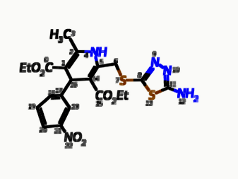 CCOC(=O)C1=C(C)NC(CSc2nnc(N)s2)=C(C(=O)OCC)C1c1cccc([N+](=O)[O-])c1